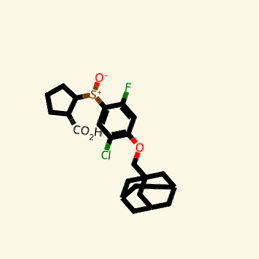 O=C(O)C1CCCC1[S+]([O-])c1cc(Cl)c(OCC23CC4CC(CC(C4)C2)C3)cc1F